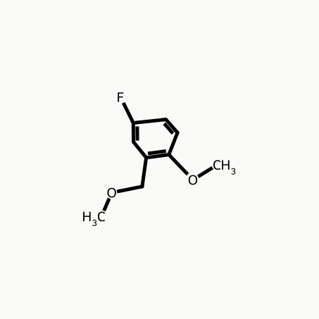 COCc1cc(F)ccc1OC